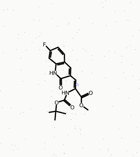 COC(=O)/C(=C/c1cc2ccc(F)cc2[nH]c1=O)NC(=O)OC(C)(C)C